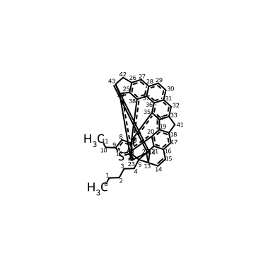 CCCCCC1(c2ccc(CC)s2)C23C=Cc4cc5c6c7c4C21c1c2c4c(cc8ccc9cc(c6c6c9c8c4c6c17)C5)CC2=C3